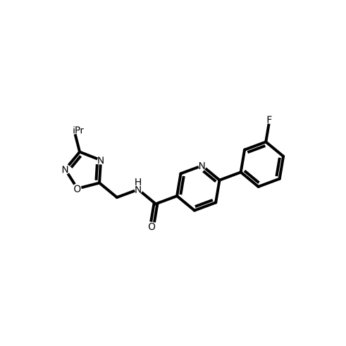 CC(C)c1noc(CNC(=O)c2ccc(-c3cccc(F)c3)nc2)n1